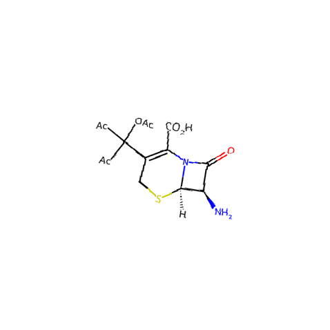 CC(=O)OC(C(C)=O)(C(C)=O)C1=C(C(=O)O)N2C(=O)[C@@H](N)[C@H]2SC1